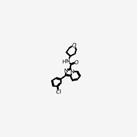 O=C(NC1CCOCC1)c1nc(-c2cccc(Cl)c2)c2ccccn12